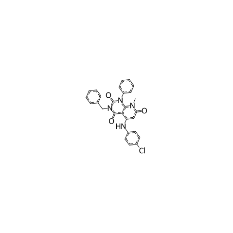 Cn1c(=O)cc(Nc2ccc(Cl)cc2)c2c(=O)n(Cc3ccccc3)c(=O)n(-c3ccccc3)c21